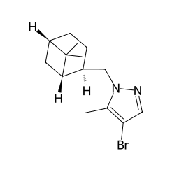 Cc1c(Br)cnn1C[C@@H]1CC[C@H]2C[C@@H]1C2(C)C